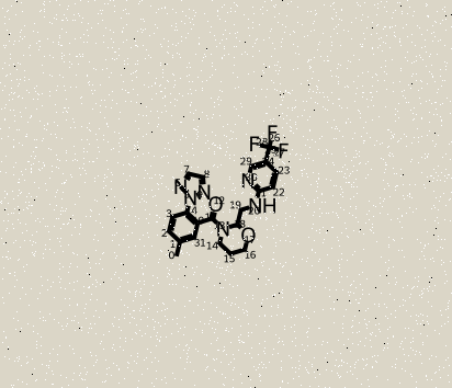 Cc1ccc(-n2nccn2)c(C(=O)N2CCCOC2CNc2ccc(C(F)(F)F)cn2)c1